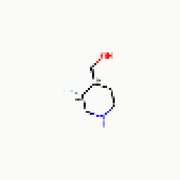 OC[C@H]1CCNC[C@@H]1F